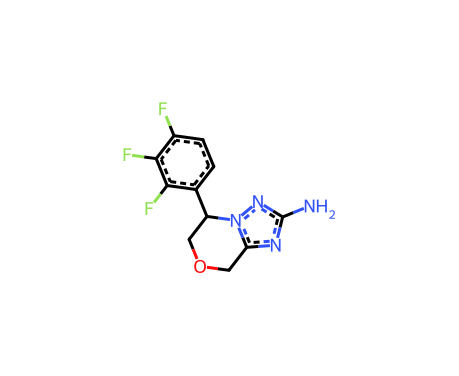 Nc1nc2n(n1)C(c1ccc(F)c(F)c1F)COC2